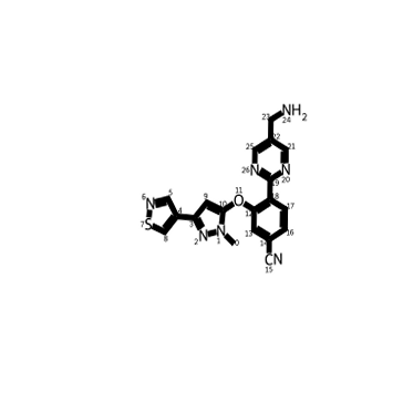 Cn1nc(-c2cnsc2)cc1Oc1cc(C#N)ccc1-c1ncc(CN)cn1